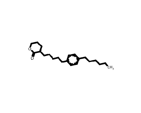 CCCCCCc1ccc(CCCCCC2CCCOC2=O)cc1